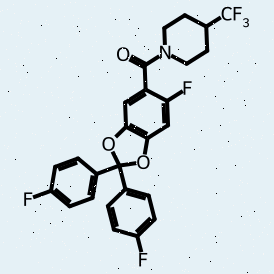 O=C(c1cc2c(cc1F)OC(c1ccc(F)cc1)(c1ccc(F)cc1)O2)N1CCC(C(F)(F)F)CC1